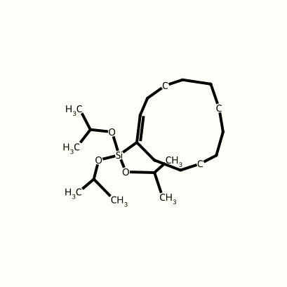 CC(C)O[Si](OC(C)C)(OC(C)C)C1=CCCCCCCCCCC1